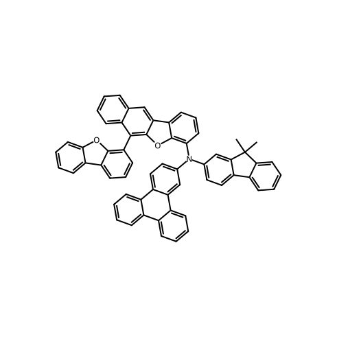 CC1(C)c2ccccc2-c2ccc(N(c3ccc4c5ccccc5c5ccccc5c4c3)c3cccc4c3oc3c(-c5cccc6c5oc5ccccc56)c5ccccc5cc34)cc21